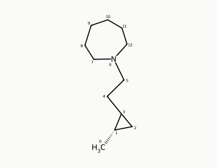 C[C@H]1CC1CCN1CCCCCC1